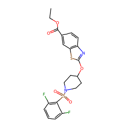 CCOC(=O)c1ccc2nc(OC3CCN(S(=O)(=O)c4c(F)cccc4F)CC3)sc2c1